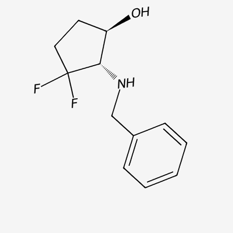 O[C@@H]1CCC(F)(F)[C@H]1NCc1ccccc1